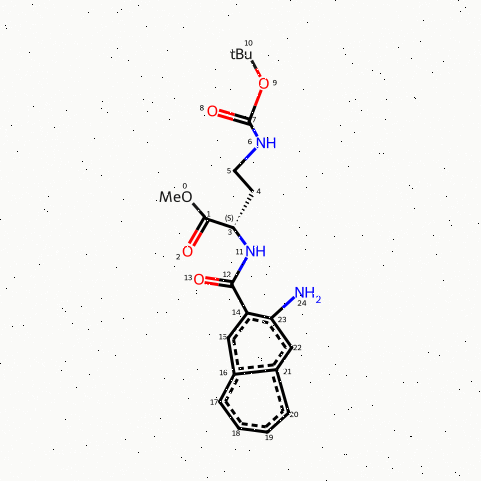 COC(=O)[C@H](CCNC(=O)OC(C)(C)C)NC(=O)c1cc2ccccc2cc1N